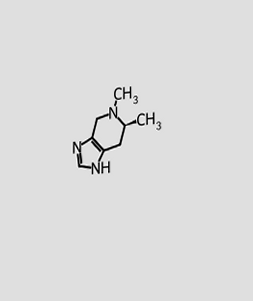 C[C@H]1Cc2[nH]cnc2CN1C